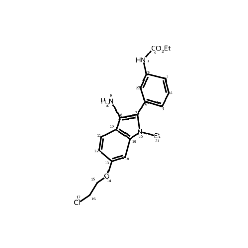 CCOC(=O)Nc1cccc(-c2c(N)c3ccc(OCCCl)cc3n2CC)c1